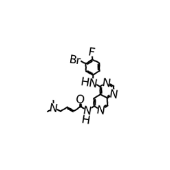 CN(C)CC=CC(=O)Nc1cc2c(Nc3ccc(F)c(Br)c3)ncnc2cn1